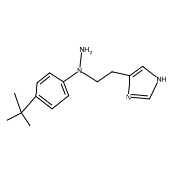 CC(C)(C)c1ccc(N(N)CCc2c[nH]cn2)cc1